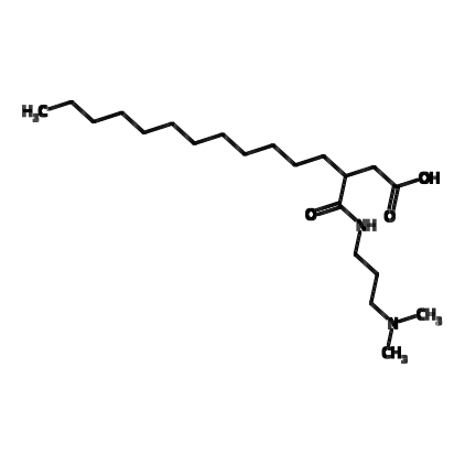 CCCCCCCCCCCCC(CC(=O)O)C(=O)NCCCN(C)C